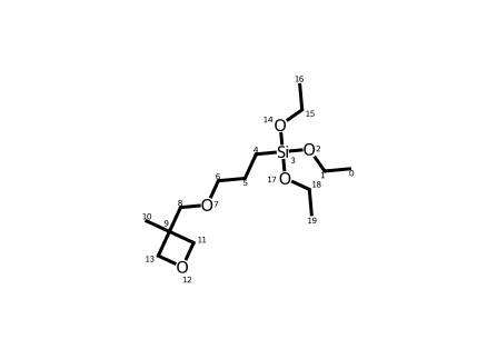 CCO[Si](CCCOCC1(C)COC1)(OCC)OCC